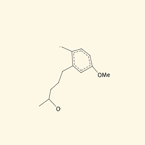 [CH2]c1ccc(OC)cc1CCCC(C)[O]